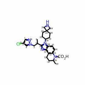 CC(Cn1cc(Cl)cn1)c1nc2c3c(ccc2n1C1CCC2(CC1)CNC2)N(C(=O)O)C(C)CC3